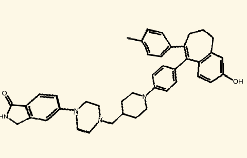 Cc1ccc(C2=C(c3ccc(N4CCC(CN5CCN(c6ccc7c(c6)CNC7=O)CC5)CC4)cc3)c3ccc(O)cc3CCC2)cc1